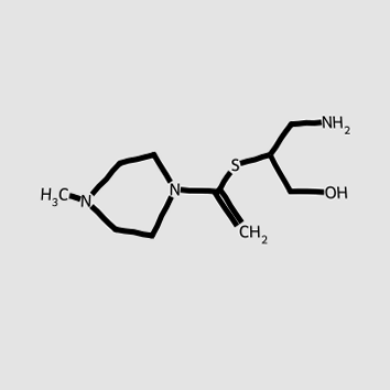 C=C(SC(CN)CO)N1CCN(C)CC1